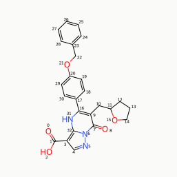 O=C(O)c1cnn2c(=O)c(CC3CCCO3)c(-c3ccc(OCc4ccccc4)cc3)[nH]c12